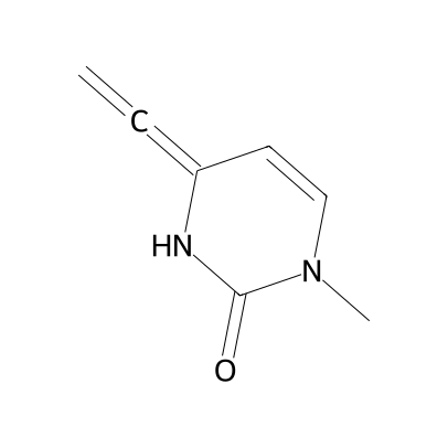 C=C=C1C=CN(C)C(=O)N1